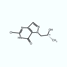 C[C@@H](O)Cn1ncc2nc(Cl)[nH]c(=O)c21